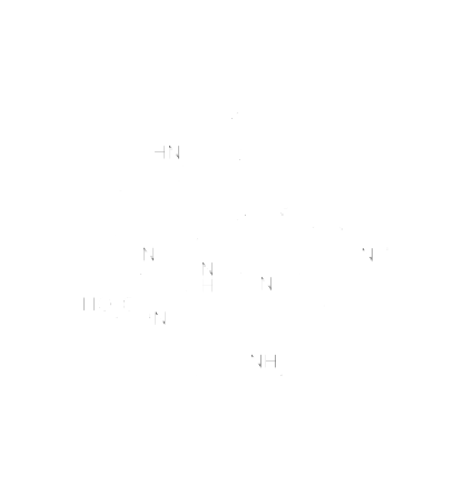 NC1CCN(C(=O)O)CC1.c1cc2nc(Nc3cc(NC4CC4)ccn3)ccc2cn1